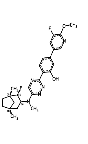 COc1ncc(-c2ccc(-c3ncc(N(C)[C@H]4C[C@]5(C)CC[C@@](C)(C5)[C@H]4F)nn3)c(O)c2)cc1F